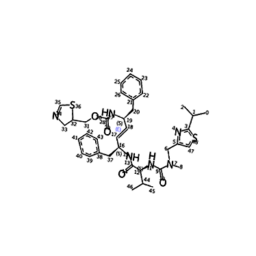 CC(C)c1nc(CN(C)C(=O)N[C@H](C(=O)N[C@H](/C=C/[C@H](Cc2ccccc2)NC(=O)OCC2CN=CS2)Cc2ccccc2)C(C)C)cs1